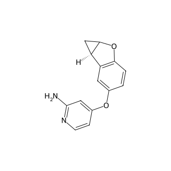 Nc1cc(Oc2ccc3c(c2)[C@H]2CC2O3)ccn1